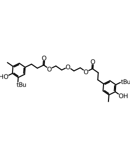 Cc1cc(CCC(=O)OCCOCCOC(=O)CCc2cc(C)c(O)c(C(C)(C)C)c2)cc(C(C)(C)C)c1O